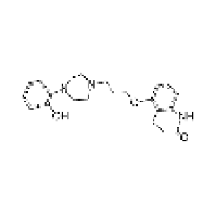 O=C1CCc2c(cccc2OCCCN2CCN(c3ccccc3O)CC2)N1